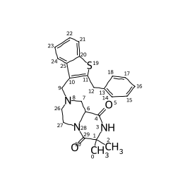 CC1(C)NC(=O)C2CN(Cc3c(Cc4ccccc4)sc4ccccc34)CCN2C1=O